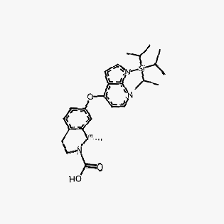 CC(C)[Si](C(C)C)(C(C)C)n1ccc2c(Oc3ccc4c(c3)[C@H](C)N(C(=O)O)CC4)ccnc21